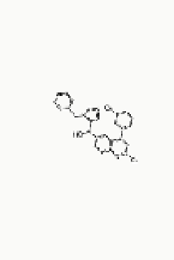 OC(c1ccc2nc(Cl)cc(-c3cccc(Cl)c3)c2c1)c1cncn1Cc1ccccc1